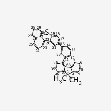 CC1(C)c2ccccc2-c2c(-c3cccc(-c4ccc5c(c4)-c4cccc6cccc(c46)S5)c3)cccc21